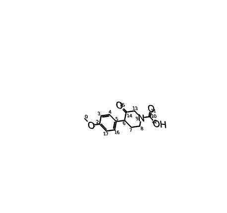 COc1ccc(C2CCN(C(=O)O)CC2=O)cc1